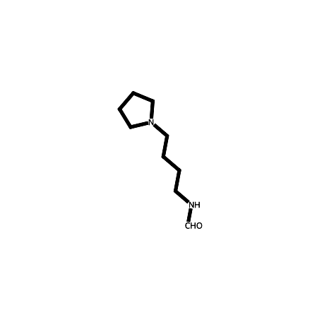 O=CNCCCCN1CCCC1